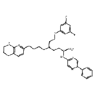 O=C(O)[C@H](CCN(CCCCc1ccc2c(n1)NCCC2)CCOc1cc(F)cc(F)c1)Nc1cnc(-c2ccccc2)cn1